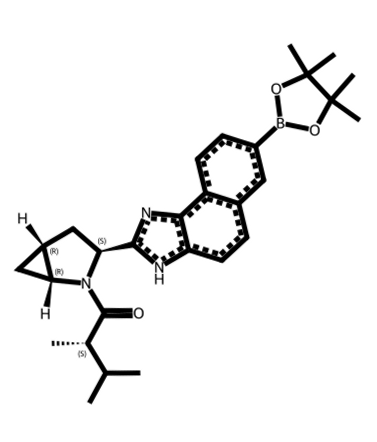 CC(C)[C@H](C)C(=O)N1[C@@H]2C[C@@H]2C[C@H]1c1nc2c(ccc3cc(B4OC(C)(C)C(C)(C)O4)ccc32)[nH]1